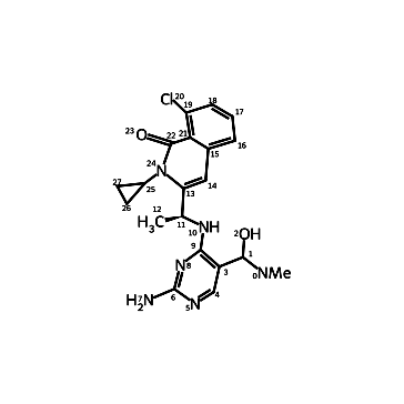 CNC(O)c1cnc(N)nc1N[C@@H](C)c1cc2cccc(Cl)c2c(=O)n1C1CC1